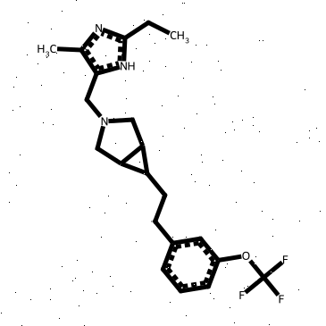 CCc1nc(C)c(CN2CC3C(C[CH]c4cccc(OC(F)(F)F)c4)C3C2)[nH]1